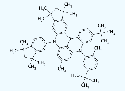 Cc1cc2c3c(c1)N(c1cc(C(C)(C)C)ccc1C)c1cc(C(C)(C)C)ccc1B3c1cc3c(cc1N2c1ccc2c(c1)C(C)(C)CC2(C)C)C(C)(C)CC3(C)C